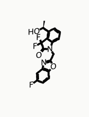 C[C@H](O)c1cccc2c1C(F)(F)C(=O)N2Cc1nc2cc(F)ccc2o1